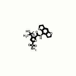 CC(C)(O)c1cc(S(N)(=O)=O)oc1C(=O)Nc1c2c(cc3c1OCC3)OCC2